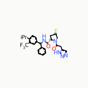 CC(C)c1ccc([C@@H](NC(=O)[C@@H]2C[C@@H](F)CN2C(=O)Cc2cnn[nH]2)c2ccccc2)cc1C(F)(F)F